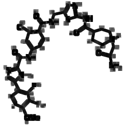 COc1ccc(-c2cnc(C(=O)Nc3ccc(C(=O)NCc4cnc(NC(=O)C5CC[N+](C)(CC(N)=O)CC5)s4)c(Cl)c3)n2C)c(F)c1F